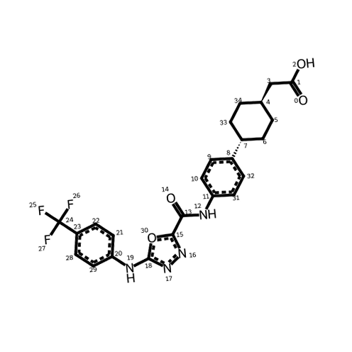 O=C(O)C[C@H]1CC[C@H](c2ccc(NC(=O)c3nnc(Nc4ccc(C(F)(F)F)cc4)o3)cc2)CC1